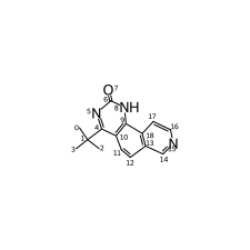 CC(C)(C)c1nc(=O)[nH]c2c1ccc1cnccc12